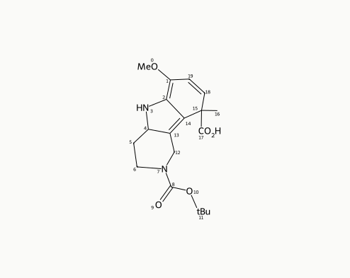 COC1=C2NC3CCN(C(=O)OC(C)(C)C)CC3=C2C(C)(C(=O)O)C=C1